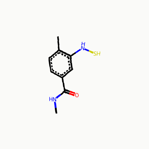 CNC(=O)c1ccc(C)c(NS)c1